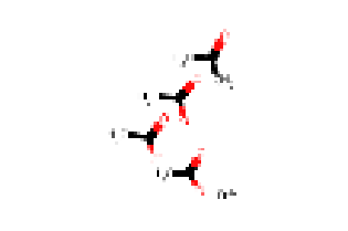 CC(=O)[O-].CC(=O)[O-].CC(=O)[O-].CC(C)=O.[Er+3]